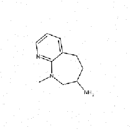 CN1CC(N)CCc2cccnc21